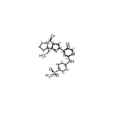 CCC12CCCN1C(=O)c1cc(-c3nc(NC4CCN(S(C)(=O)=O)CC4)ncc3Cl)sc12